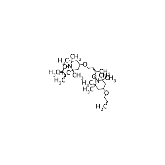 C=CCOC1CC(C)(C)N(O/C(C)=C\COC2CC(C)(C)N(OC(C)C=C)C(C)(C)C2)C(C)(C)C1